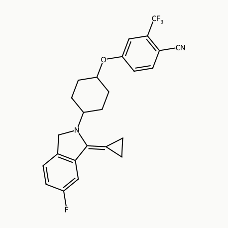 N#Cc1ccc(OC2CCC(N3Cc4ccc(F)cc4C3=C3CC3)CC2)cc1C(F)(F)F